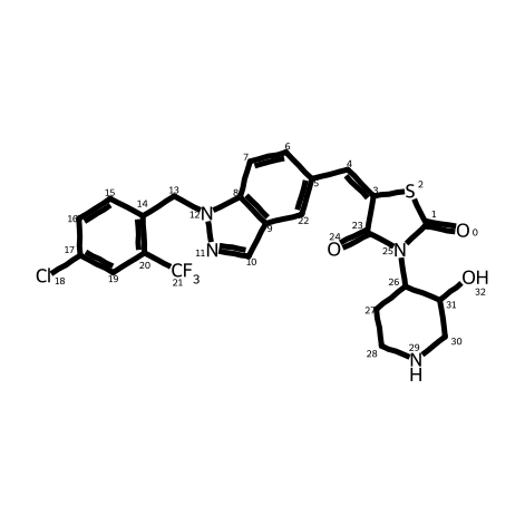 O=C1SC(=Cc2ccc3c(cnn3Cc3ccc(Cl)cc3C(F)(F)F)c2)C(=O)N1C1CCNCC1O